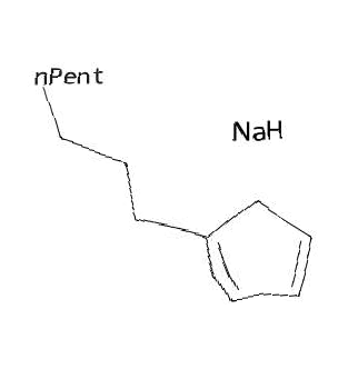 CCCCCCCCC1=CC=CC1.[NaH]